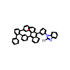 CCc1nc2ccccc2n1-c1cccc(-c2c3ccccc3c(-c3cccc(-c4c(-c5ccccc5)cccc4-c4ccccc4)c3)c3ccccc23)c1